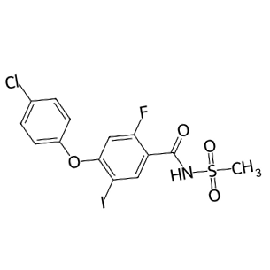 CS(=O)(=O)NC(=O)c1cc(I)c(Oc2ccc(Cl)cc2)cc1F